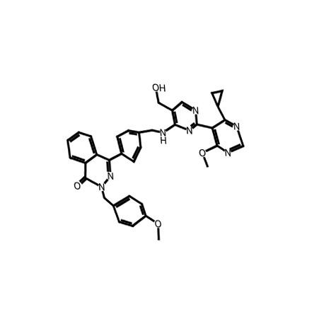 COc1ccc(Cn2nc(-c3ccc(CNc4nc(-c5c(OC)ncnc5C5CC5)ncc4CO)cc3)c3ccccc3c2=O)cc1